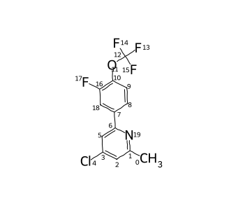 Cc1cc(Cl)cc(-c2ccc(OC(F)(F)F)c(F)c2)n1